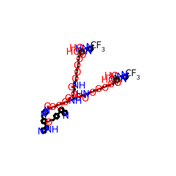 O=C(CCOCC(COCCC(=O)NCCOCCOCCOCCOC[C@H]1OC[C@H](Nc2nccc(C(F)(F)F)n2)[C@@H](O)[C@H]1O)NC(=O)COCCOCCOCC(=O)N1CCN(Cc2ccc(-c3c[nH]c4ccncc34)c(OCCc3ccc(-c4cccc5ccncc45)cc3)c2)CC1)NCCOCCOCCOCCOC[C@H]1OC[C@H](Nc2nccc(C(F)(F)F)n2)[C@@H](O)[C@H]1O